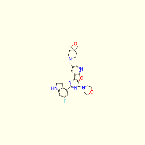 Fc1cc(-c2nc(N3CCOCC3)c3oc4ncc(CN5CCC6(CC5)COC6)cc4c3n2)c2cc[nH]c2c1